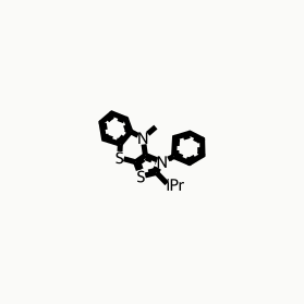 CC(C)c1sc2c([n+]1-c1ccccc1)N(C)c1ccccc1S2